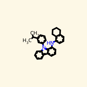 CC(C)c1cccc(-n2c3ccccc3c3cccc(Nc4cccc5c4CCCC5)c32)c1